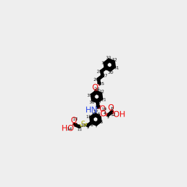 O=C(O)COc1ccc(CSCC(=O)O)cc1NC(=O)c1ccc(OCCCCc2ccccc2)cc1